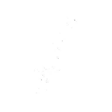 Cl.Nc1nc2c(sc(=O)n2CCN2CCN(c3ccc(OCCN4CCNCC4)cc3F)CC2)c2nc(-c3ccco3)nn12